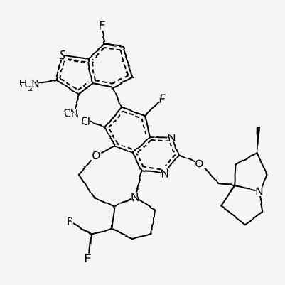 C[C@H]1CN2CCCC2(COc2nc3c4c(c(Cl)c(-c5ccc(F)c6sc(N)c(C#N)c56)c(F)c4n2)OCCC2C(C(F)F)CCCN32)C1